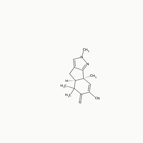 Cn1cc2c(n1)[C@@]1(C)C=C(C#N)C(=O)C(C)(C)[C@H]1C2